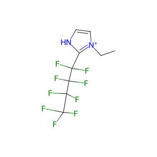 CC[n+]1cc[nH]c1C(F)(F)C(F)(F)C(F)(F)C(F)(F)F